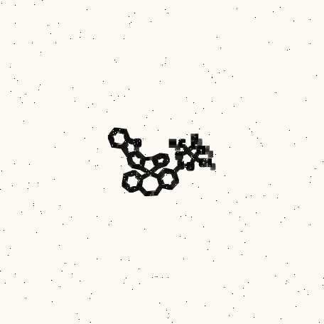 CC1(C)OB(c2ccc3c(c2)C2(c4ccccc4C=C3)c3ccccc3-c3c2ccc2c3oc3ccccc32)OC1(C)C